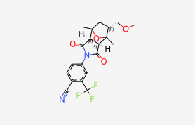 COC[C@H]1CC2(C)OC1(C)[C@H]1C(=O)N(c3ccc(C#N)c(C(F)(F)F)c3)C(=O)[C@H]12